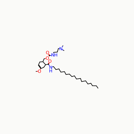 CCCCCCCCCCCCCCCCCCNC(=O)C1CC(OC)=CCC1COC(=O)NCCCN(C)C